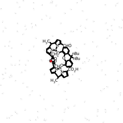 CCCCC1(CCCC)c2cccc(OP3n4c(C=O)ccc4C(C)c4ccc(C5OC(C)O5)n43)c2Oc2c(OP3n4c(C(=O)O)ccc4C(C)c4ccc(C5OC(C)O5)n43)cccc21